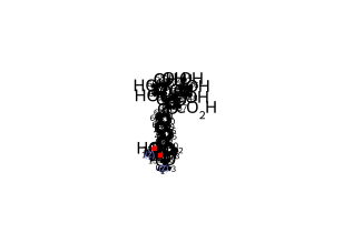 C/C=C(/C)C(=O)O[C@H]1[C@H](OC(=O)/C(C)=C\C)[C@@]2(CO)C(CC1(C)C)C1=CCC3[C@@]4(C)CC[C@H](O[C@@H]5OC(C(=O)O)C6(O[C@@H]7O[C@@H](CO)C(O)C7O)C(C5O[C@@H]5OC(CO)[C@H](O)C(O)C5O)[C@@H]6O)C(C)(C)C4CC[C@@]3(C)[C@]1(C)C[C@H]2O